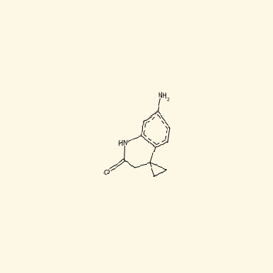 Nc1ccc2c(c1)NC(=O)CC21CC1